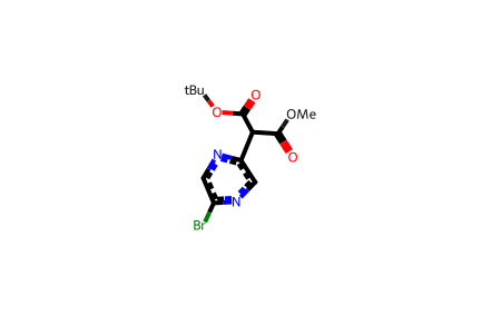 COC(=O)C(C(=O)OC(C)(C)C)c1cnc(Br)cn1